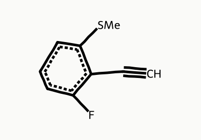 C#Cc1c(F)cccc1SC